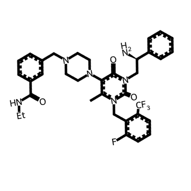 CCNC(=O)c1cccc(CN2CCN(c3c(C)n(Cc4c(F)cccc4C(F)(F)F)c(=O)n(C[C@@H](N)c4ccccc4)c3=O)CC2)c1